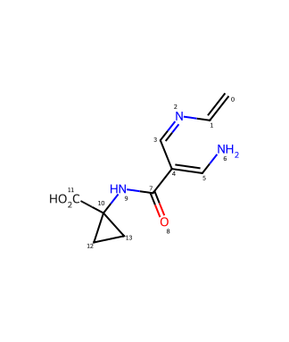 C=C/N=C\C(=C/N)C(=O)NC1(C(=O)O)CC1